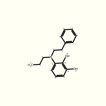 CCCN(CCc1ccccc1)c1cccc(O)c1O